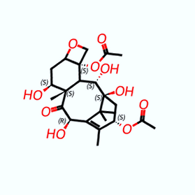 CC(=O)O[C@H]1C[C@@]2(O)[C@@H](O)C3[C@]4(OC(C)=O)COC4C[C@H](O)[C@@]3(C)C(=O)[C@H](O)C(=C1C)C2(C)C